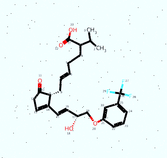 CC(C)C(CCC=CC[C@H]1C(=O)CC=C1C=C[C@@H](O)COc1cccc(C(F)(F)F)c1)C(=O)O